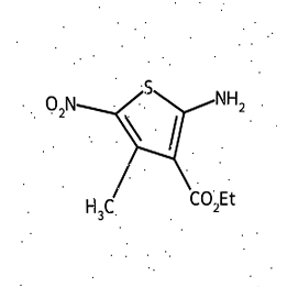 CCOC(=O)c1c(N)sc([N+](=O)[O-])c1C